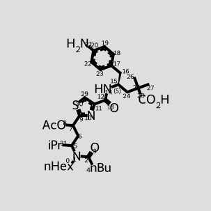 CCCCCCN(C(=O)CCCC)C(CC(OC(C)=O)c1nc(C(=O)N[C@@H](Cc2ccc(N)cc2)CC(C)(C)C(=O)O)cs1)C(C)C